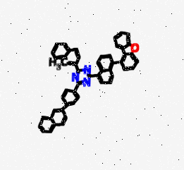 C/C=C(\C=C/c1ccccc1)c1nc(-c2ccc(-c3ccc4ccccc4c3)cc2)nc(-c2cccc3c(-c4cccc5oc6ccccc6c45)cccc23)n1